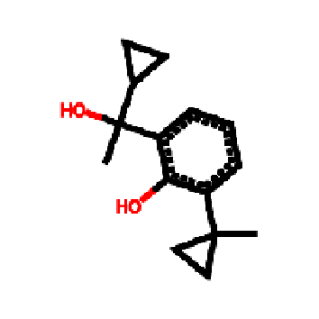 CC1(c2cccc(C(C)(O)C3CC3)c2O)CC1